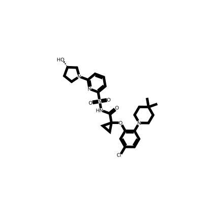 CC1(C)CCN(c2ccc(Cl)cc2OC2(C(=O)NS(=O)(=O)c3cccc(N4CC[C@H](O)C4)n3)CC2)CC1